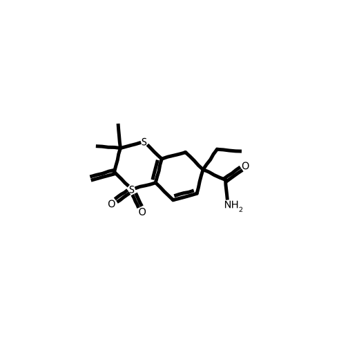 C=C1C(C)(C)SC2=C(C=CC(CC)(C(N)=O)C2)S1(=O)=O